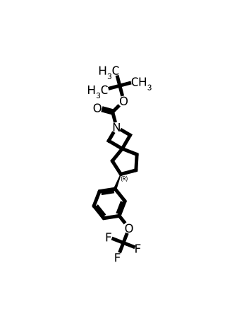 CC(C)(C)OC(=O)N1CC2(CC[C@@H](c3cccc(OC(F)(F)F)c3)C2)C1